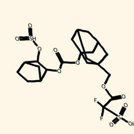 O=C(OC1C2CCC(C2)C1O[SH](=O)=O)OC12CC3CC(CC(COC(=O)C(F)(F)S(=O)(=O)O)(C3)C1)C2